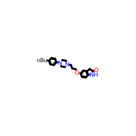 CCCCc1ccc(N2CCN(CCCOc3ccc4c(c3)CC(=O)N4)CC2)cc1